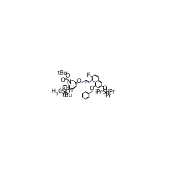 CC(C)[Si](Oc1cc(OCc2ccccc2)c2c(/C=C/CO[C@@H]3C=C[C@H](O[Si](C)(C)C(C)(C)C)CN(C(=O)OC(C)(C)C)C3)c(F)ccc2c1)(C(C)C)C(C)C